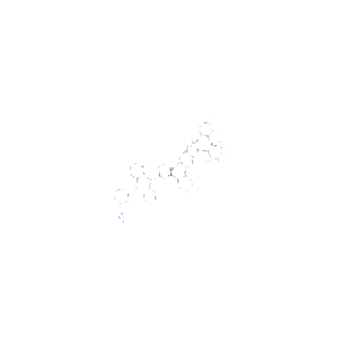 N#Cc1cccc(-c2c3ccccc3c(-c3ccc4c(c3)c3ccccc3c3cc5c(cc43)oc3c4ccccc4c4ccccc4c53)c3ccccc23)c1